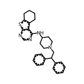 c1ccc(C(CN2CCC(Nc3ncnc4sc5c(c34)CCCC5)CC2)c2ccccc2)cc1